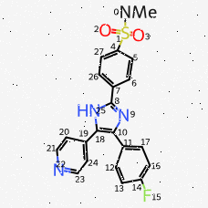 CNS(=O)(=O)c1ccc(-c2nc(-c3ccc(F)cc3)c(-c3ccncc3)[nH]2)cc1